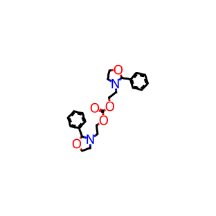 O=C(OCCN1CCOC1c1ccccc1)OCCN1CCOC1c1ccccc1